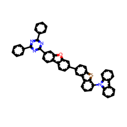 c1ccc(-c2nc(-c3ccccc3)nc(-c3ccc4c(c3)oc3cc(-c5ccc6sc7c(-n8c9ccccc9c9ccccc98)cccc7c6c5)ccc34)n2)cc1